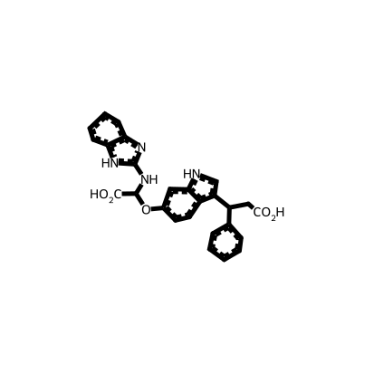 O=C(O)CC(c1ccccc1)c1c[nH]c2cc(OC(Nc3nc4ccccc4[nH]3)C(=O)O)ccc12